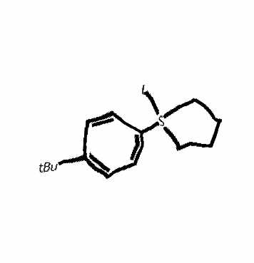 CC(C)(C)c1ccc(S2(I)CCCC2)cc1